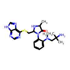 CC1NC(CSc2ncnc3[nH]cnc23)N(c2ccccc2N(C)CC(C)(C)N)C1=O